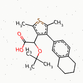 Cc1sc(C)c(C(OC(C)(C)C)C(=O)O)c1-c1ccc2c(c1)CCCC2